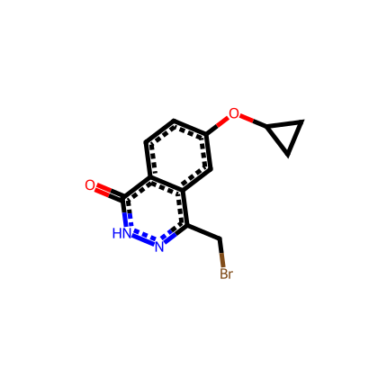 O=c1[nH]nc(CBr)c2cc(OC3CC3)ccc12